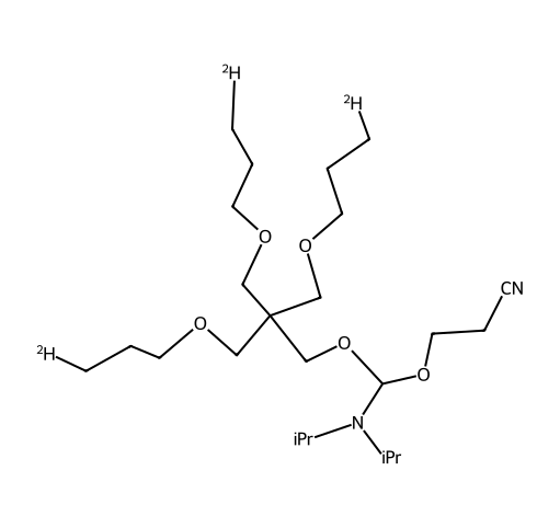 [2H]CCCOCC(COCCC[2H])(COCCC[2H])COC(OCCC#N)N(C(C)C)C(C)C